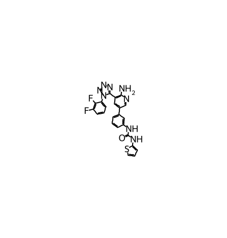 Nc1ncc(-c2cccc(NC(=O)Nc3cccs3)c2)cc1-c1nnnn1-c1cccc(F)c1F